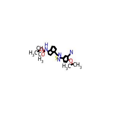 CC(C)Oc1ccc(-c2nsc(-c3cccc4c3CC[C@H]4NC(=O)OC(C)(C)C)n2)cc1C#N